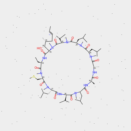 C/C=C/C[C@@H](C)[C@@H](O)[C@@H]1C(=O)N[C@H](CC)C(=O)N(C)[C@H](CSC)C(=O)N(C)[C@@H](CC(C)C)C(=O)N[C@H](C(C)C)C(=O)N(C)C(CC(C)C)C(=O)N[C@H](C)C(=O)N[C@@H](C)C(=O)N(C)[C@H](CC(C)C)C(=O)N(C)[C@H](CC(C)C)C(=O)N(C)[C@H](C(C)C)C(=O)N1C